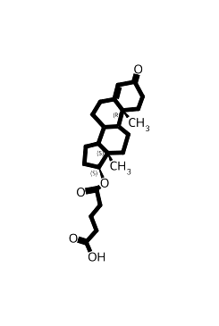 C[C@]12CCC(=O)C=C1CCC1C2CC[C@@]2(C)C1CC[C@@H]2OC(=O)CCCC(=O)O